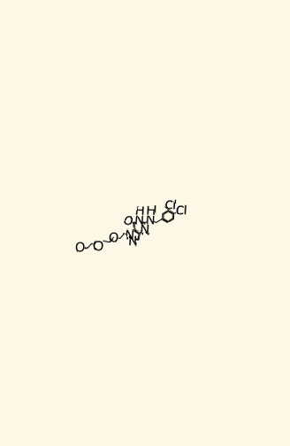 O=CCOCCOCCn1ncc2nc(NCc3ccc(Cl)c(Cl)c3)[nH]c(=O)c21